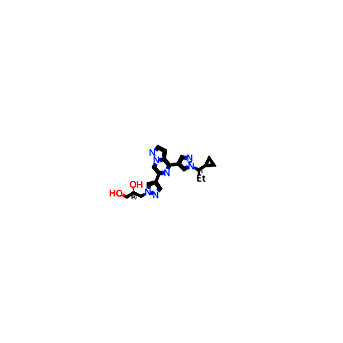 CC[C@H](C1CC1)n1cc(-c2nc(-c3cnn(C[C@@H](O)CO)c3)cn3nccc23)cn1